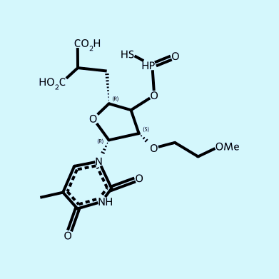 COCCO[C@H]1C(O[PH](=O)S)[C@@H](CC(C(=O)O)C(=O)O)O[C@H]1n1cc(C)c(=O)[nH]c1=O